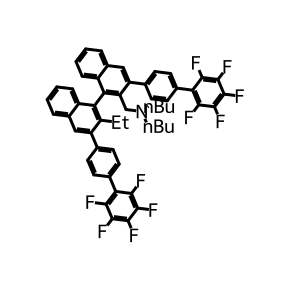 CCCCN(CCCC)Cc1c(-c2ccc(-c3c(F)c(F)c(F)c(F)c3F)cc2)cc2ccccc2c1-c1c(CC)c(-c2ccc(-c3c(F)c(F)c(F)c(F)c3F)cc2)cc2ccccc12